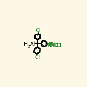 Cl.Cl.Cl.Cl.[AlH2][C](c1ccc(Cl)cc1)(c1ccc(Cl)cc1)c1ccc(Cl)cc1